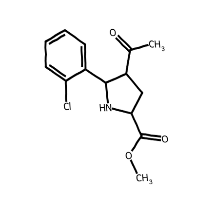 COC(=O)C1CC(C(C)=O)C(c2ccccc2Cl)N1